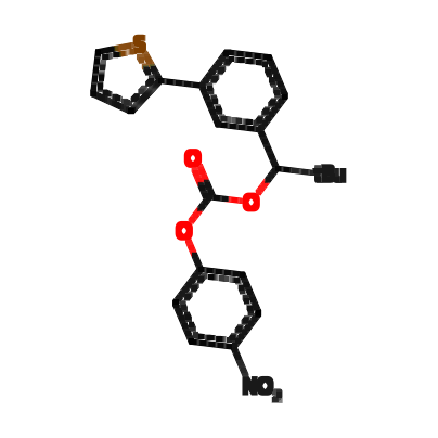 CC(C)(C)C(OC(=O)Oc1ccc([N+](=O)[O-])cc1)c1cccc(-c2cccs2)c1